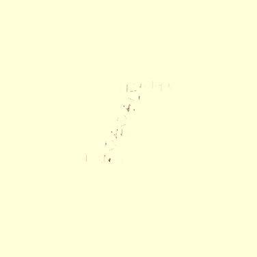 CCCCCCCOc1ccc(/N=N/c2ccc(/N=N/c3ccc(N(C)C)cc3)cc2)cc1Cl